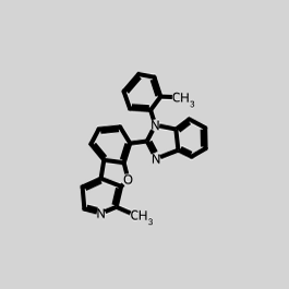 Cc1ccccc1-n1c(-c2cccc3c2oc2c(C)nccc23)nc2ccccc21